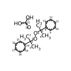 CC(C)(OOC(C)(C)c1ccccc1)c1ccccc1.O=C(O)O